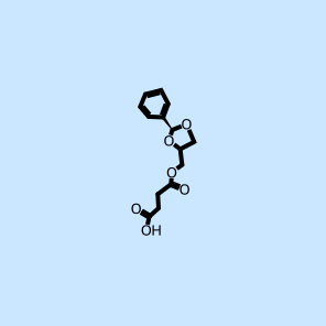 O=C(O)CCC(=O)OCC1CO[C@H](c2ccccc2)O1